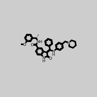 COc1cccc([C@H](C)NC(=O)c2ccc3c(c2)/C(=C(/Nc2ccc(CN4CCCCC4)cc2)c2ccccc2)C(=O)N3)c1